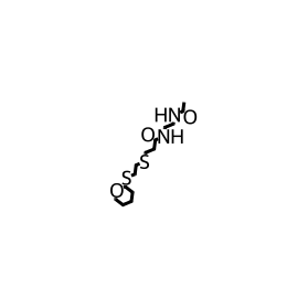 CC(=O)NCCNC(=O)CCSCCSC1CCCCO1